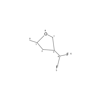 CC1CC(C(F)F)CO1